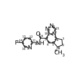 C[C@H]1CCc2c1cc(C(=O)Nc1ccc(F)cn1)c1nncn21